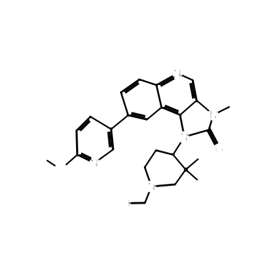 [2H]CN1CCC(n2c(=O)n(C)c3cnc4ccc(-c5ccc(OC)nc5)cc4c32)C(F)(F)C1